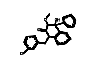 COC1C(=O)N(Cc2cccc(Cl)c2)c2ccccc2C1(O)c1ccccc1